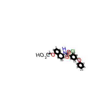 O=C(O)COc1cccc2c1CCC[C@H]2NS(=O)(=O)c1ccc(Oc2ccccc2)cc1Cl